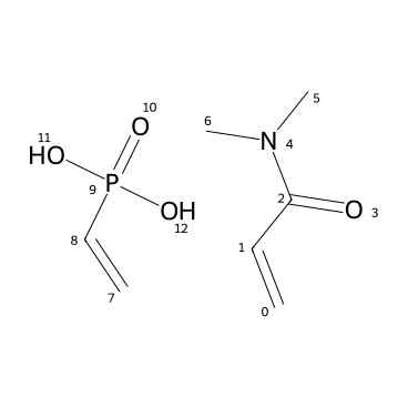 C=CC(=O)N(C)C.C=CP(=O)(O)O